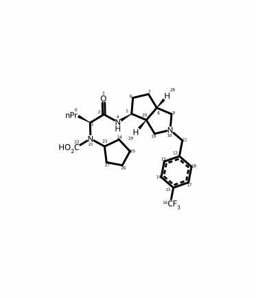 CCC[C@@H](C(=O)N[C@H]1CC[C@@H]2CN(Cc3ccc(C(F)(F)F)cc3)C[C@@H]21)N(C(=O)O)C1CCCC1